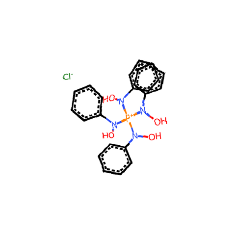 ON(c1ccccc1)[P+](N(O)c1ccccc1)(N(O)c1ccccc1)N(O)c1ccccc1.[Cl-]